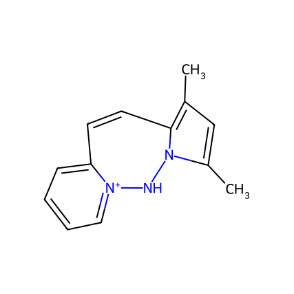 Cc1cc(C)n2c1C=Cc1cccc[n+]1N2